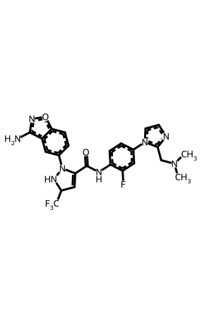 CN(C)Cc1nccn1-c1ccc(NC(=O)C2=CC(C(F)(F)F)NN2c2ccc3onc(N)c3c2)c(F)c1